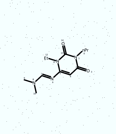 CCCn1c(=O)cc(N=CN(C)C)n(CC)c1=O